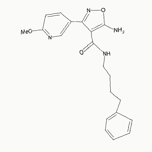 COc1ccc(-c2noc(N)c2C(=O)NCCCCc2ccccc2)cn1